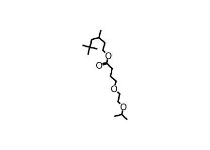 CC(CCOC(=O)CCCOCCOC(C)C)CC(C)(C)C